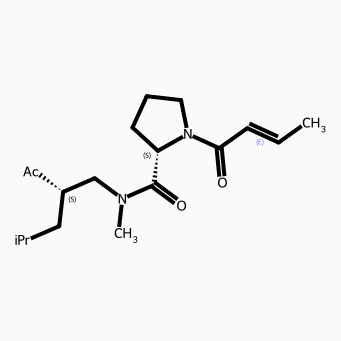 C/C=C/C(=O)N1CCC[C@H]1C(=O)N(C)C[C@H](CC(C)C)C(C)=O